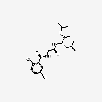 CB(OC(C)C)[C@H](CC(C)C)NC(=O)CNC(=O)c1cc(Cl)ccc1Cl